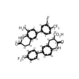 Nc1cc(-c2ccc(C(F)(F)F)c(F)c2)cc2c1NC(=O)CC2.O=C(O)C1Cc2cc(-c3ccc(C(F)(F)F)cc3)ccc2NC1=O